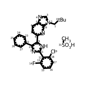 CC(C)(C)Cn1cnc2ccc(-c3[nH]c(-c4c(F)cccc4Cl)nc3-c3ccccc3)nc21.CS(=O)(=O)O